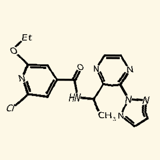 CCOc1cc(C(=O)NC(C)c2nccnc2-n2nccn2)cc(Cl)n1